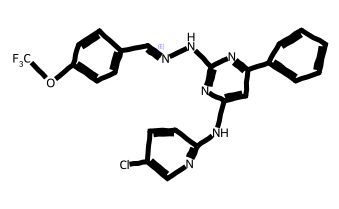 FC(F)(F)Oc1ccc(/C=N/Nc2nc(Nc3ccc(Cl)cn3)cc(-c3ccccc3)n2)cc1